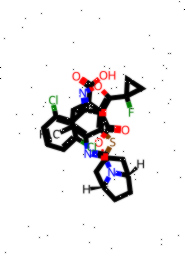 Cc1cc(C(=O)O)cc2sc(N3[C@@H]4CC[C@H]3C[C@@H](OC(=O)c3c(-c5c(Cl)cccc5Cl)noc3C3(F)CC3)C4)nc12